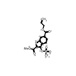 C=CCOC(=O)c1ccc2c(OS(=O)(=O)C(F)(F)F)c(C(=O)OC)sc2c1